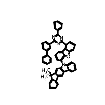 CC1(C)c2ccccc2-c2cc3c4ccccc4n(-c4cccc5c4oc4cccc(-c6nc(-c7ccccc7)nc(-c7cccc(-c8ccccc8)c7)n6)c45)c3cc21